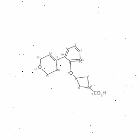 O=C(O)N1CC(Oc2ncccc2C2=CCOCC2)C1